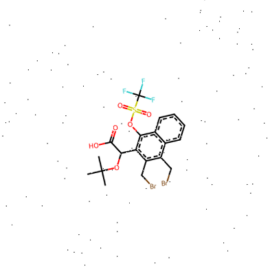 CC(C)(C)OC(C(=O)O)c1c(CBr)c(CBr)c2ccccc2c1OS(=O)(=O)C(F)(F)F